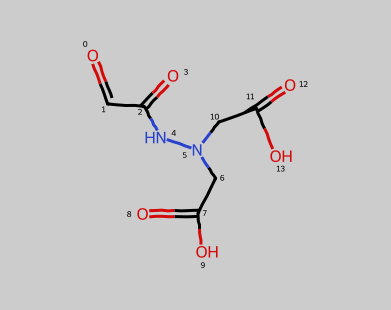 O=CC(=O)NN(CC(=O)O)CC(=O)O